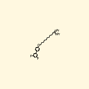 CCCN(CCC)CCCCCCCCCCOc1ccc(-c2cc(F)cc(F)c2)cc1